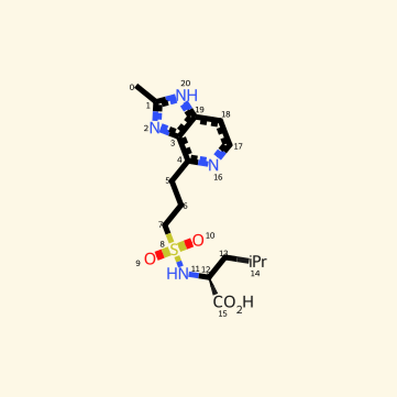 Cc1nc2c(CCCS(=O)(=O)N[C@@H](CC(C)C)C(=O)O)nccc2[nH]1